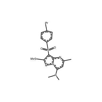 CSc1nn2c(N(C)C)cc(C)nc2c1S(=O)(=O)c1ccc(C(C)C)cc1